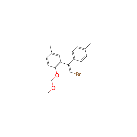 COCOc1ccc(C)cc1/C(=C/Br)c1ccc(C)cc1